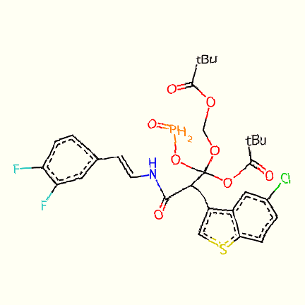 CC(C)(C)C(=O)OCOC(O[PH2]=O)(OC(=O)C(C)(C)C)C(C(=O)NC=Cc1ccc(F)c(F)c1)c1csc2ccc(Cl)cc12